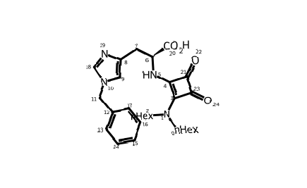 CCCCCCN(CCCCCC)c1c(N[C@@H](Cc2cn(Cc3ccccc3)cn2)C(=O)O)c(=O)c1=O